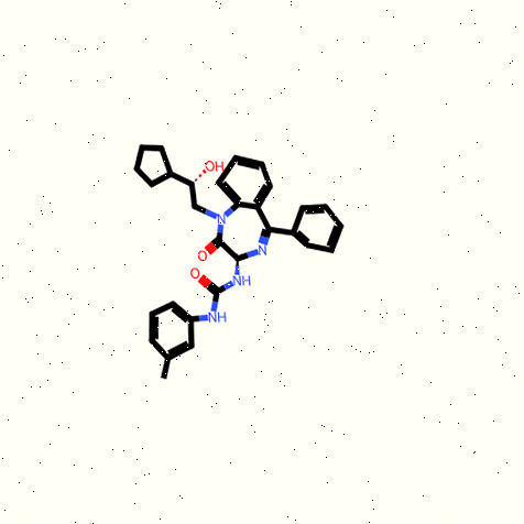 Cc1cccc(NC(=O)N[C@@H]2N=C(c3ccccc3)c3ccccc3N(C[C@@H](O)C3CCCC3)C2=O)c1